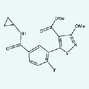 COC(=O)c1c(OC)nsc1-c1cc(C(=O)NC2CC2)ccc1F